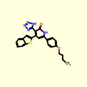 O=c1[nH]c(-c2ccc(OCCCC(F)(F)F)cc2)cc(-c2cc3ccccc3s2)c1-c1nnn[nH]1